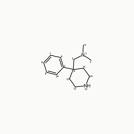 CN(C)CC1(c2ccccc2)CCNCC1